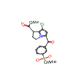 COC(=O)C1CCn2c(C(=O)c3cccc(S(=O)(=O)OC)c3)cc(Cl)c21